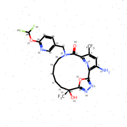 Nc1cc(C(F)(F)F)c2nc1-c1nnc(o1)[C@@](O)(C(F)(F)F)CCCCCN(Cc1ccc(OC(F)F)nc1)C2=O